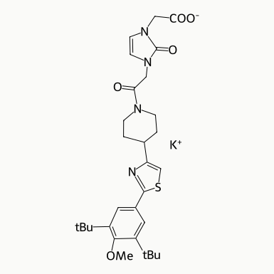 COc1c(C(C)(C)C)cc(-c2nc(C3CCN(C(=O)Cn4ccn(CC(=O)[O-])c4=O)CC3)cs2)cc1C(C)(C)C.[K+]